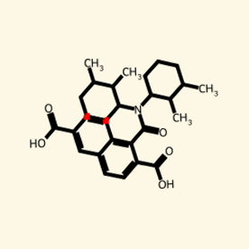 CC1CCCC(N(C(=O)c2c(C(=O)O)ccc3cc(C(=O)O)ccc23)C2CCCC(C)C2C)C1C